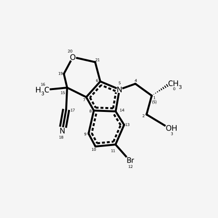 C[C@H](CO)Cn1c2c(c3ccc(Br)cc31)C(C)(C#N)COC2